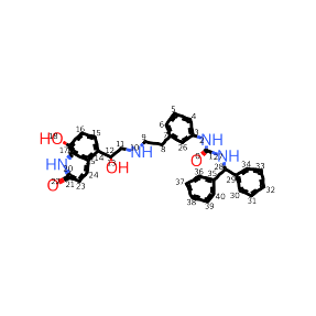 O=C(Nc1cccc(CCNC[C@@H](O)c2ccc(O)c3[nH]c(=O)ccc23)c1)NC(c1ccccc1)c1ccccc1